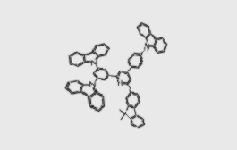 CC1(C)c2ccccc2-c2ccc(-c3cc(-c4ccc(-n5c6ccccc6c6ccccc65)cc4)cc(-c4cc(-n5c6ccccc6c6ccccc65)cc(-n5c6ccccc6c6ccccc65)c4)n3)cc21